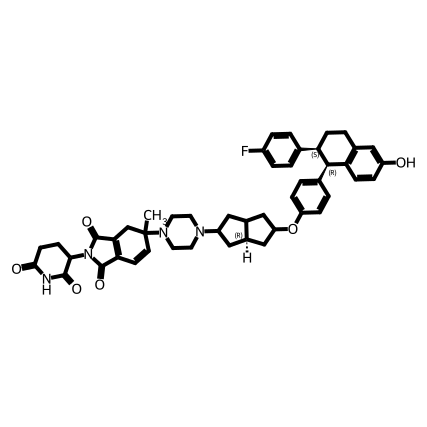 CC1(N2CCN(C3CC4CC(Oc5ccc([C@@H]6c7ccc(O)cc7CC[C@@H]6c6ccc(F)cc6)cc5)C[C@H]4C3)CC2)C=CC2=C(C1)C(=O)N(C1CCC(=O)NC1=O)C2=O